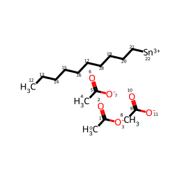 CC(=O)[O-].CC(=O)[O-].CC(=O)[O-].CCCCCCCCC[CH2][Sn+3]